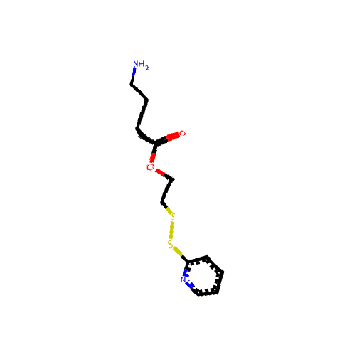 NCCCC(=O)OCCSSc1ccccn1